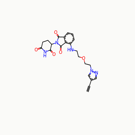 C#Cc1cnn(CCOCCNc2cccc3c2C(=O)N(C2CCC(=O)NC2=O)C3=O)c1